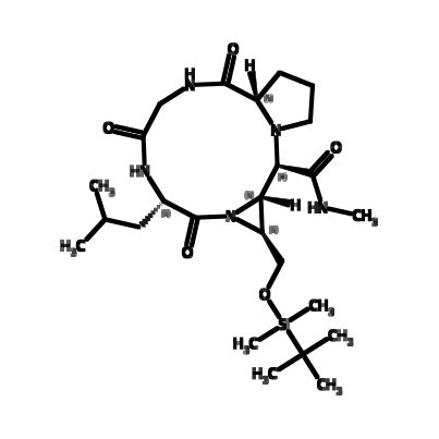 CNC(=O)[C@H]1[C@@H]2[C@@H](CO[Si](C)(C)C(C)(C)C)N2C(=O)[C@H](CC(C)C)NC(=O)CNC(=O)[C@@H]2CCCN21